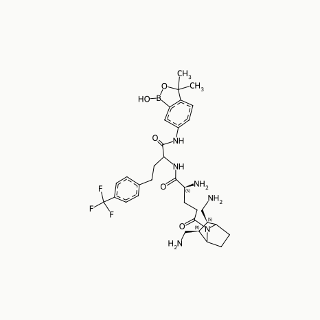 CC1(C)OB(O)c2cc(NC(=O)C(CCc3ccc(C(F)(F)F)cc3)NC(=O)[C@@H](N)CCC(=O)N3C4CCC3[C@H](CN)[C@@H]4CN)ccc21